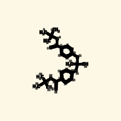 CC(C)(C)OC(=O)c1ccc(OC(C)(O)Oc2ccc(C(=O)OC(C)(C)C)cc2)cc1